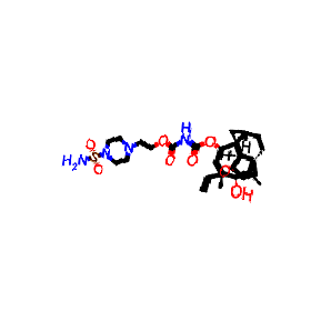 C=C[C@]1(C)C[C@@H](OC(=O)NC(=O)OCCN2CCN(S(N)(=O)=O)CC2)[C@]23C[C@@H]2CC[C@]2(CCC(=O)[C@H]23)[C@@H](C)[C@@H]1O